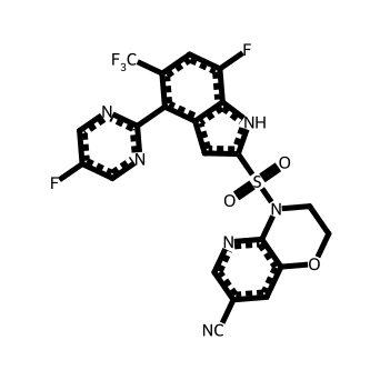 N#Cc1cnc2c(c1)OCCN2S(=O)(=O)c1cc2c(-c3ncc(F)cn3)c(C(F)(F)F)cc(F)c2[nH]1